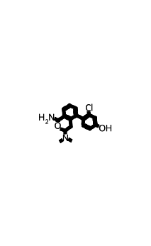 CC(Cc1c(C(N)=O)cccc1-c1ccc(O)cc1Cl)N(C)C